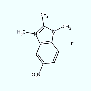 Cn1c(C(F)(F)F)[n+](C)c2cc([N+](=O)[O-])ccc21.[I-]